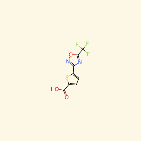 O=C(O)c1ccc(-c2noc(C(F)(F)F)n2)s1